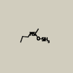 CCCC[SiH](C)O[SiH3]